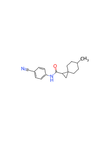 CC1CCC2(CC1)CC2C(=O)Nc1ccc(C#N)cc1